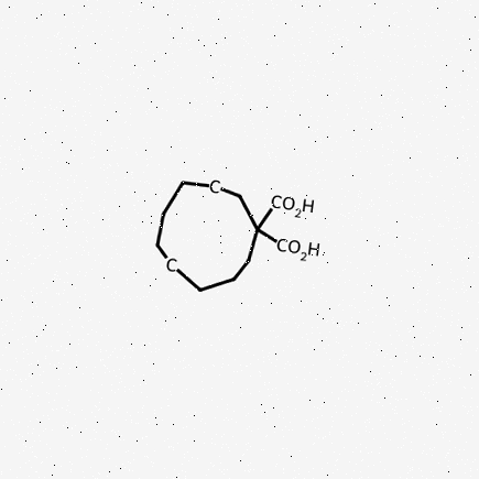 O=C(O)C1(C(=O)O)CCCCCCCCC1